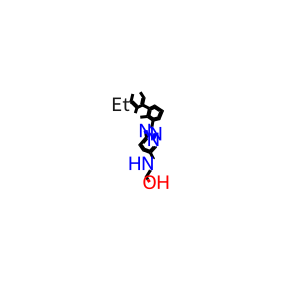 C/C=C(\C(C)=C(/C)CC)c1cccc(-c2nc3ccc(CNCCO)cn3n2)c1C